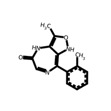 CC1=C2NC(=O)C=NC(c3ccccc3C)=C2NO1